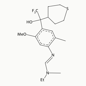 CCN(C)C=Nc1cc(OC)c(C(O)(C2CCSCC2)C(F)(F)F)cc1C